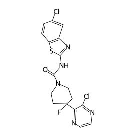 O=C(Nc1nc2cc(Cl)ccc2s1)N1CCC(F)(c2nccnc2Cl)CC1